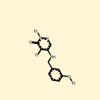 CCOc1cccc(CNc2cnn(CC)c(=O)c2Cl)c1